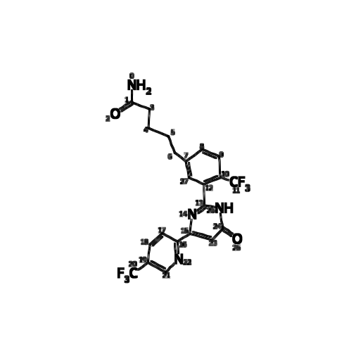 NC(=O)CCCCc1ccc(C(F)(F)F)c(-c2nc(-c3ccc(C(F)(F)F)cn3)cc(=O)[nH]2)c1